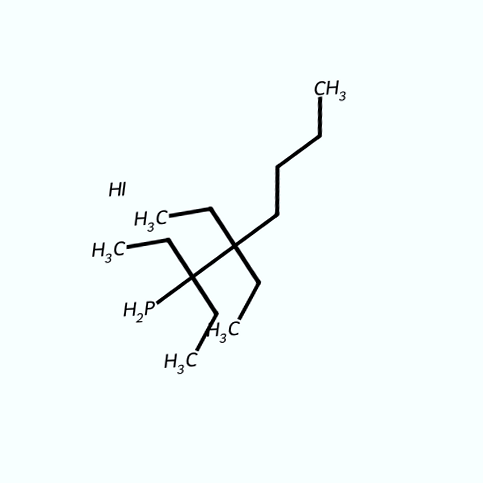 CCCCC(CC)(CC)C(P)(CC)CC.I